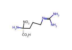 NC(N)=NCCC[C@](N)(C(=O)O)[N+](=O)[O-]